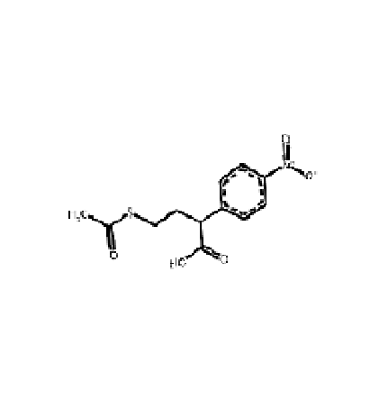 CC(=O)SCCC(C(=O)O)c1ccc([N+](=O)[O-])cc1